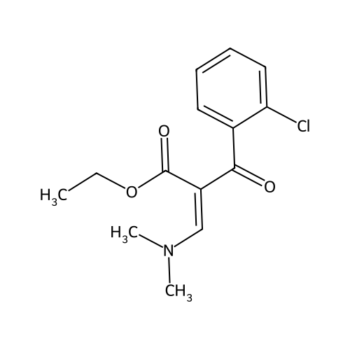 CCOC(=O)C(=CN(C)C)C(=O)c1ccccc1Cl